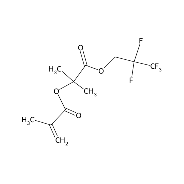 C=C(C)C(=O)OC(C)(C)C(=O)OCC(F)(F)C(F)(F)F